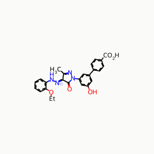 CCOc1ccccc1N/N=C1/C(=O)N(c2cc(O)cc(-c3ccc(C(=O)O)cc3)c2)N=C1C